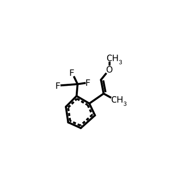 COC=C(C)c1ccccc1C(F)(F)F